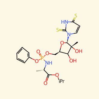 CC(C)OC(=O)[C@H](C)NP(=O)(OC[C@H]1O[C@@H](n2ccc(=S)[nH]c2=S)[C@](C)(O)C1O)Oc1ccccc1